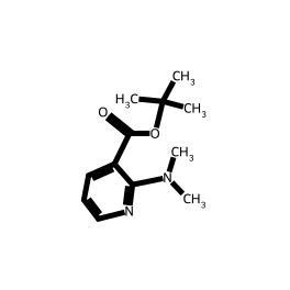 CN(C)c1ncccc1C(=O)OC(C)(C)C